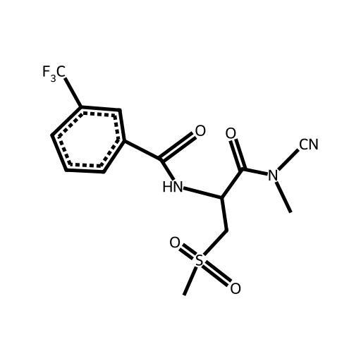 CN(C#N)C(=O)C(CS(C)(=O)=O)NC(=O)c1cccc(C(F)(F)F)c1